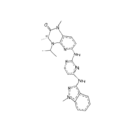 CC(C)N1c2nc(Nc3nccc(Nc4nn(C)c5ccccc45)n3)ccc2N(C)C(=O)[C@H]1C